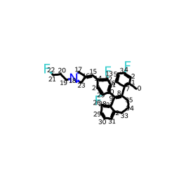 Cc1cc(F)ccc1C1=C(c2cc(F)c(C=C3CN(CCCF)C3)cc2F)c2ccccc2CCC1